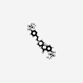 CS(=O)(=O)Nc1ccc(CCN2CCC3(CC2)CC(=O)c2cc(NS(C)(=O)=O)ccc2O3)cc1